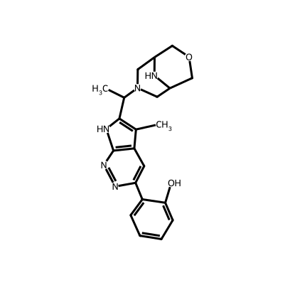 Cc1c(C(C)N2CC3COCC(C2)N3)[nH]c2nnc(-c3ccccc3O)cc12